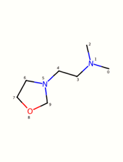 CN(C)CCN1CCOC1